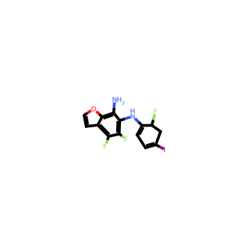 Nc1c(NC2=CC=C(I)CC2F)c(F)c(F)c2ccoc12